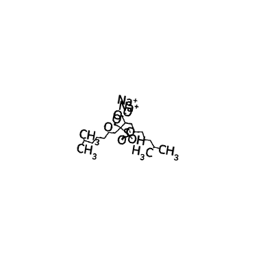 CC(C)CCCCCC(C(=O)[O-])C(CCCCCC(C)C)(C(=O)[O-])S(=O)(=O)O.[Na+].[Na+]